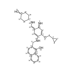 N=C1C=C(OCC2CC2)C(NCc2ccc3ccccc3[n+]2O)=C/C1=C/N[C@H]1CC[C@H](O)CC1